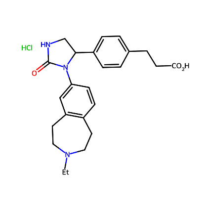 CCN1CCc2ccc(N3C(=O)NCC3c3ccc(CCC(=O)O)cc3)cc2CC1.Cl